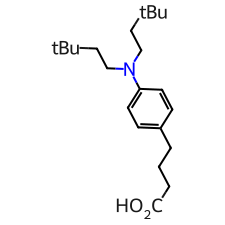 CC(C)(C)CCN(CCC(C)(C)C)c1ccc(CCCC(=O)O)cc1